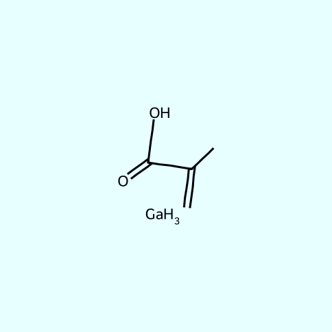 C=C(C)C(=O)O.[GaH3]